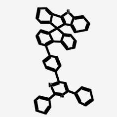 c1ccc(-c2cc(-c3ccc(-c4cccc5c4-c4ccccc4C54c5ccccc5-c5sc6ccccc6c54)cc3)nc(-c3ccccc3)n2)cc1